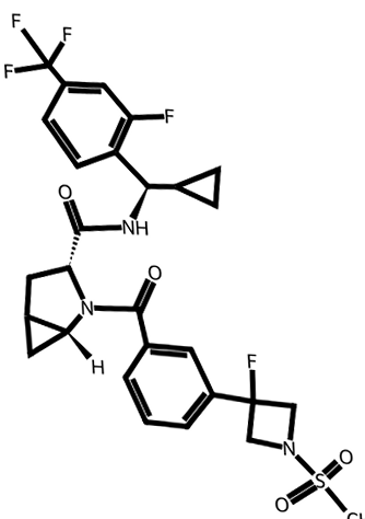 CS(=O)(=O)N1CC(F)(c2cccc(C(=O)N3[C@@H](C(=O)N[C@@H](c4ccc(C(F)(F)F)cc4F)C4CC4)CC4C[C@H]43)c2)C1